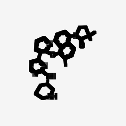 Cc1ccc2c(N3CCC(C)(C)C3=O)cccc2c1Oc1ncccc1-c1ccnc(N[C@H]2CCCNC2)n1